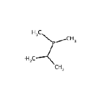 [CH2]C(C)P(C)C